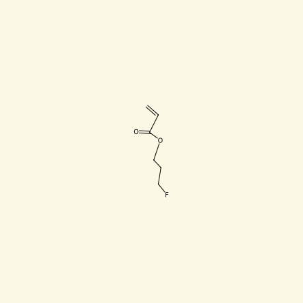 C=CC(=O)OCCCF